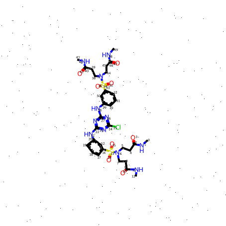 CNC(=O)CCN(CCC(=O)NC)S(=O)(=O)c1cccc(Nc2nc(Cl)nc(Nc3cccc(S(=O)(=O)N(CCC(=O)NC)CCC(=O)NC)c3)n2)c1